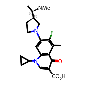 CN[C@H](C)[C@@H]1CCN(c2cc3c(c(C)c2F)c(=O)c(C(=O)O)cn3C2CC2)C1